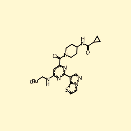 CC(C)(C)CNc1cc(C(=O)N2CCC(NC(=O)C3CC3)CC2)nc(-c2cnn3ccsc23)n1